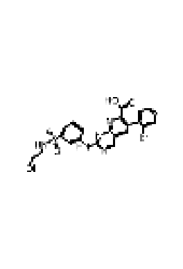 O=C(O)c1nc2nc(Nc3cccc(S(=O)(=O)NCCO)c3)ncc2cc1-c1ccccc1Br